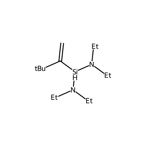 C=C([SiH](N(CC)CC)N(CC)CC)C(C)(C)C